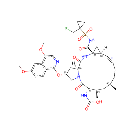 COc1ccc2c(O[C@@H]3C[C@H]4C(=O)N[C@]5(C(=O)NS(=O)(=O)C6(CF)CC6)C[C@H]5/C=C\CC[C@@H](C)C[C@@H](C)[C@H](NC(=O)O)C(=O)N4C3)ncc(OC)c2c1